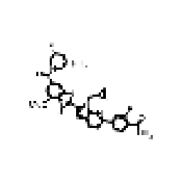 COc1cc(C(=O)N2C[C@H](N)C[C@@H](F)C2)cc2nc(-c3cc4ccc(-c5ccc(C(N)=O)c(F)c5)nc4n3CC3CC3)n(C)c12